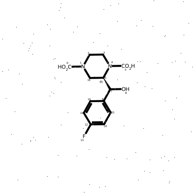 O=C(O)N1CCN(C(=O)O)[C@@H](C(O)c2ccc(F)cc2)C1